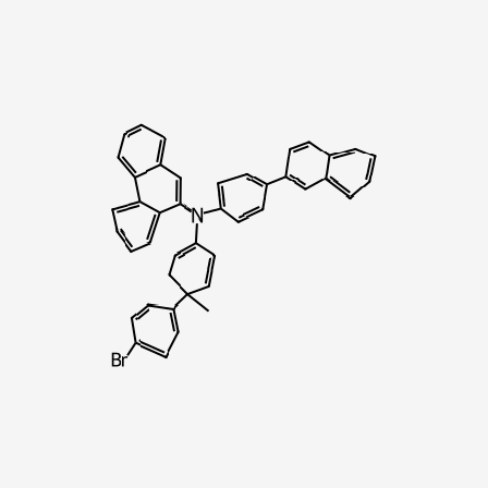 CC1(c2ccc(Br)cc2)C=CC(N(c2ccc(-c3ccc4ccccc4c3)cc2)c2cc3ccccc3c3ccccc23)=CC1